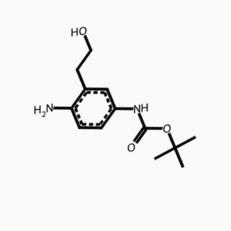 CC(C)(C)OC(=O)Nc1ccc(N)c(CCO)c1